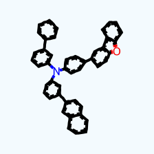 c1ccc(-c2cccc(N(c3ccc(-c4ccc5oc6ccccc6c5c4)cc3)c3cccc(-c4ccc5ccccc5c4)c3)c2)cc1